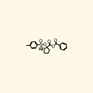 Cc1ccc(S(=O)(=O)O[C@@]2(C(=O)OC(=O)c3ccccc3)CCCN2)cc1